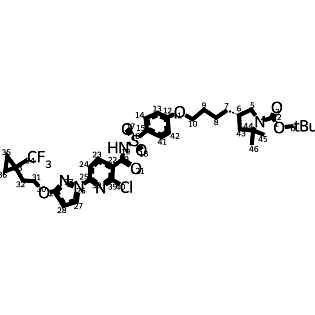 CC(C)(C)OC(=O)N1C[C@@H](CCCCOc2ccc(S(=O)(=O)NC(=O)c3ccc(-n4ccc(OCCC5(C(F)(F)F)CC5)n4)nc3Cl)cc2)CC1(C)C